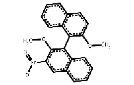 COc1ccc2ccccc2c1-c1c(OC)c([N+](=O)[O-])cc2ccccc12